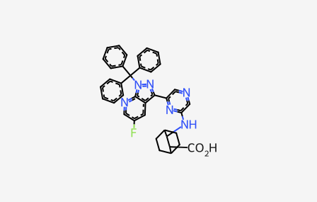 O=C(O)C1C2CCC(CC2)C1Nc1cncc(-c2nn(C(c3ccccc3)(c3ccccc3)c3ccccc3)c3ncc(F)cc23)n1